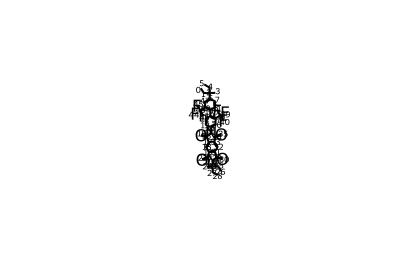 CCC(C)(CC)c1ccc(-c2ccc(-n3c(=O)c4cc5c(=O)n(C(C)(CC)CC)c(=O)c5cc4c3=O)cc2C(F)(F)F)c(C(F)(F)F)c1